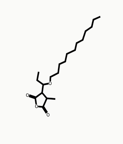 CCCCCCCCCCCCOC(CC)C1C(=O)OC(=O)C1C